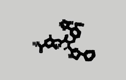 COc1ccc(CN(C(=O)[C@@H](N)Cc2c(C)cc(C(N)=O)cc2C)[C@@H](C)C2=NC(c3ccccc3)CN2)cc1-c1nnn[nH]1